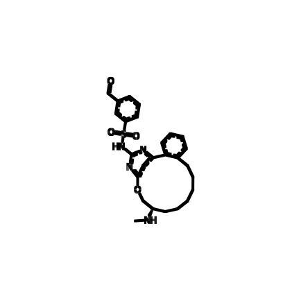 CN[C@@H]1CCCCCCc2ccccc2-c2cc(nc(NS(=O)(=O)c3cccc(C=O)c3)n2)OC1